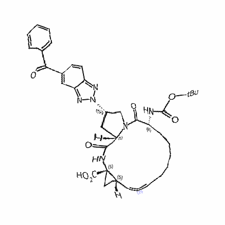 CC(C)(C)OC(=O)N[C@@H]1CCCCC/C=C\[C@@H]2C[C@]2(C(=O)O)NC(=O)[C@@H]2C[C@H](n3nc4ccc(C(=O)c5ccccc5)cc4n3)CN2C1=O